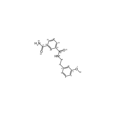 COc1cccc(CCNC(=O)c2cccc(C(N)=O)c2)c1